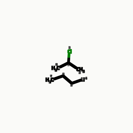 CC(C)Cl.[Li][CH2]CC